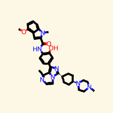 COc1cccc2c1cc(C(=O)Nc1ccc(-c3nc([C@H]4CC[C@H](N5CCN(C)CC5)CC4)n4ccnc(C)c34)cc1O)n2C